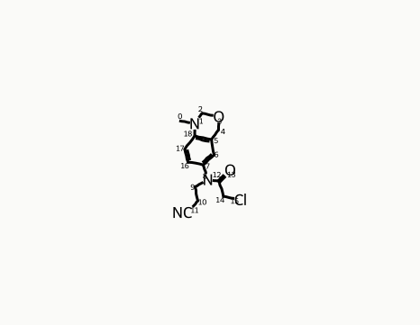 CN1COCc2cc(N(CCC#N)C(=O)CCl)ccc21